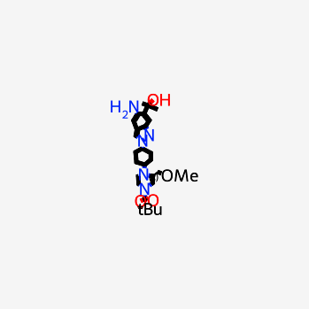 COC[C@H]1CN(C(=O)OC(C)(C)C)CCN1C1CCC(n2cc3cc(N)c(C(C)(C)O)cc3n2)CC1